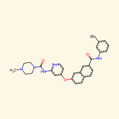 CN1CCN(C(=O)Nc2cc(Oc3ccc4ccc(C(=O)Nc5cccc(C(C)(C)C)c5)cc4c3)ccn2)CC1